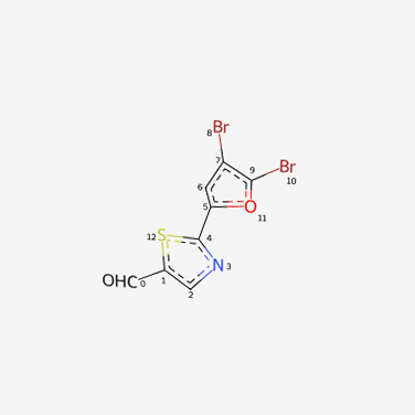 O=Cc1cnc(-c2cc(Br)c(Br)o2)s1